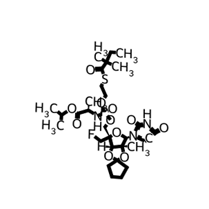 CCC(C)(C)C(=O)SCCOP(=O)(N[C@@H](C)C(=O)OC(C)C)OC[C@@]1(CF)O[C@@H](n2ccc(=O)[nH]c2=O)[C@]2(C)OC3(CCCC3)O[C@H]12